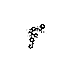 C[C@@H](NC(=O)c1ccc2c(c1)/C(=C(/Nc1ccc(CN3CCCC3)cc1)c1ccsc1)C(=O)N2)c1ccccc1